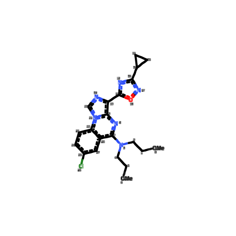 COCCN(CCOC)c1nc2c(-c3nc(C4CC4)no3)ncn2c2ccc(Cl)cc12